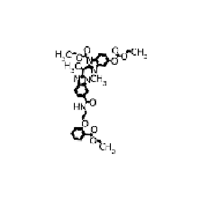 CCOC(=O)Oc1ccc2c(c1)nc(C(C)c1nc3ccc(C(=O)NCCOc4ccccc4C(=O)OCC)cc3n1C)n2C(=O)OCC